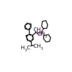 C1CCC(PC2CCCCC2)CC1.CC(C)c1ccc(-c2ccccc2)c(C(C)C)c1